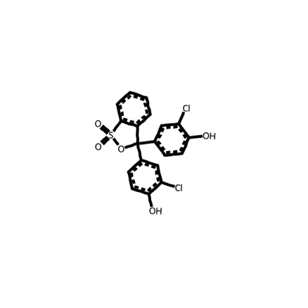 O=S1(=O)OC(c2ccc(O)c(Cl)c2)(c2ccc(O)c(Cl)c2)c2ccccc21